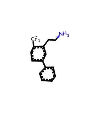 NCCc1cc(-c2ccccc2)ccc1C(F)(F)F